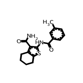 Cc1cccc(C(=O)Nc2sc3c(c2C(N)=O)CCCC3)c1